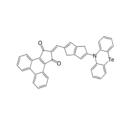 O=C1C(=CC2=CC3=C(C=C(N4c5ccccc5[Te]c5ccccc54)C3)C2)C(=O)c2c1c1ccccc1c1ccccc21